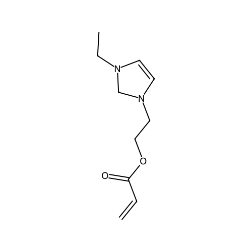 C=CC(=O)OCCN1C=CN(CC)C1